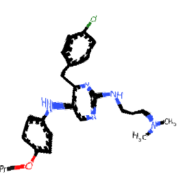 CC(C)Oc1ccc(Nc2cnc(NCCN(C)C)nc2Cc2ccc(Cl)cc2)cc1